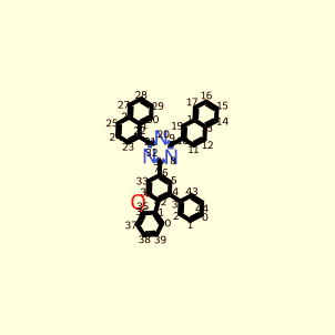 c1ccc(-c2cc(-c3nc(-c4ccc5ccccc5c4)nc(-c4cccc5ccccc45)n3)cc3oc4ccccc4c23)cc1